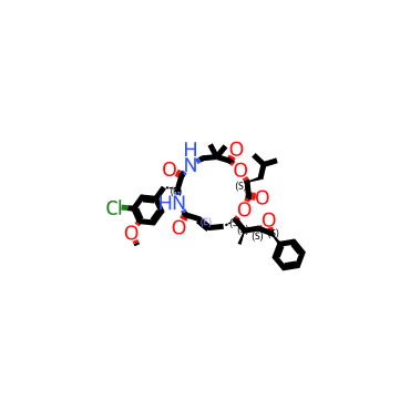 COc1ccc(C[C@H]2NC(=O)/C=C/C[C@@H]([C@H](C)[C@@H]3O[C@H]3c3ccccc3)OC(=O)[C@H](CC(C)C)OC(=O)C(C)(C)CNC2=O)cc1Cl